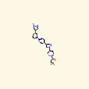 Cn1cc(-c2cccc(-c3ncc(-c4cnn(C5CCN(C(=O)CC(F)(F)F)CC5)c4)cn3)c2)cn1